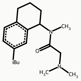 CCC(C)c1ccc2c(c1)C(N(C)C(=O)CN(C)C)CCC2